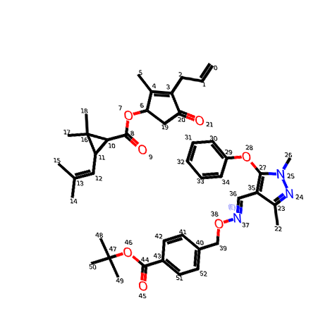 C=CCC1=C(C)C(OC(=O)C2C(C=C(C)C)C2(C)C)CC1=O.Cc1nn(C)c(Oc2ccccc2)c1/C=N/OCc1ccc(C(=O)OC(C)(C)C)cc1